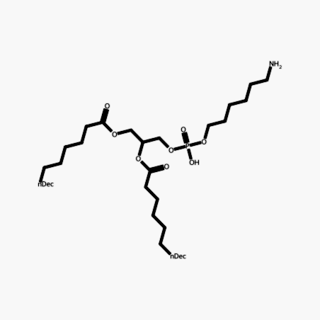 CCCCCCCCCCCCCCCC(=O)OCC(COP(=O)(O)OCCCCCCN)OC(=O)CCCCCCCCCCCCCCC